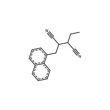 CCC(C#N)C(C#N)Cc1cccc2ccccc12